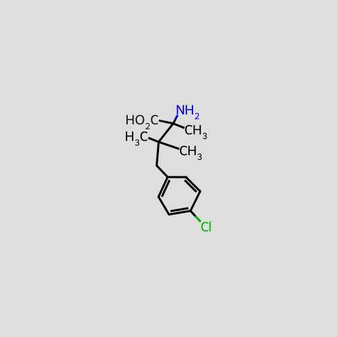 CC(C)(Cc1ccc(Cl)cc1)C(C)(N)C(=O)O